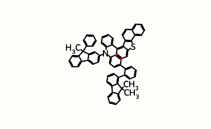 CC1(C)c2ccccc2-c2cccc(-c3ccccc3-c3ccc(N(c4ccc5c(c4)C(C)(c4ccccc4)c4ccccc4-5)c4ccccc4-c4cccc5sc6c7ccccc7ccc6c45)cc3)c21